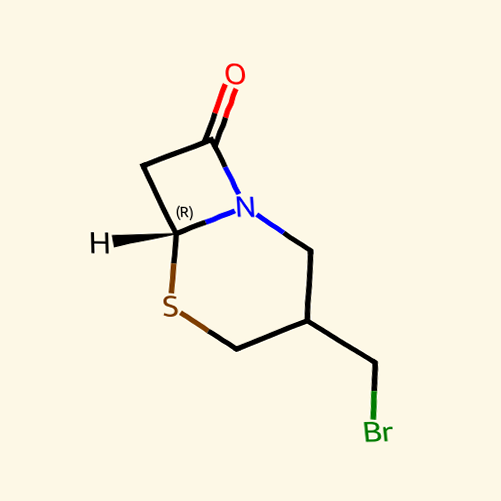 O=C1C[C@H]2SCC(CBr)CN12